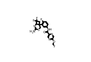 NC1=NC2C(F)(F)CC2(c2cc(NC(=O)c3cnc(OCF)cn3)ccc2F)CS1